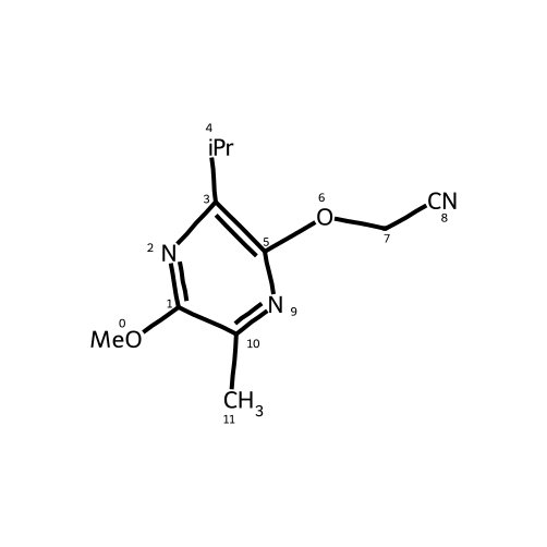 COc1nc(C(C)C)c(OCC#N)nc1C